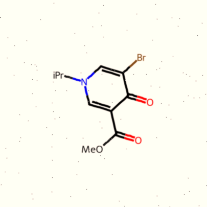 COC(=O)c1cn(C(C)C)cc(Br)c1=O